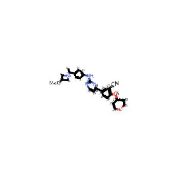 COC1CN(C(C)c2ccc(Nc3nccc(-c4ccc(OC5CCOCC5)c(C#N)c4)n3)cc2)C1